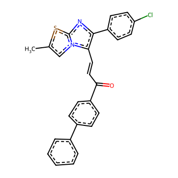 Cc1cn2c(/C=C/C(=O)c3ccc(-c4ccccc4)cc3)c(-c3ccc(Cl)cc3)nc2s1